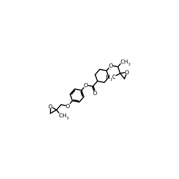 CC(OC1CCC(C(=O)Oc2ccc(OCC3(C)CO3)cc2)CC1)C1(C)CO1